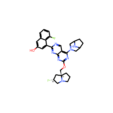 Oc1cc(-c2ncc3c(N4CC5CCC(C4)N5)nc(OC[C@@]45CCCN4C[C@H](F)C5)nc3n2)c2c(F)cccc2c1